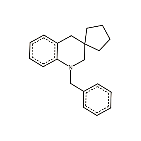 c1ccc(CN2CC3(CCCC3)Cc3ccccc32)cc1